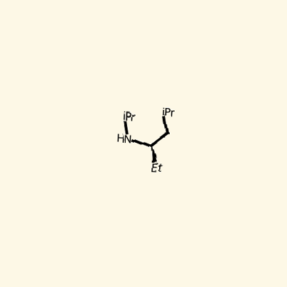 CC[C@H](CC(C)C)NC(C)C